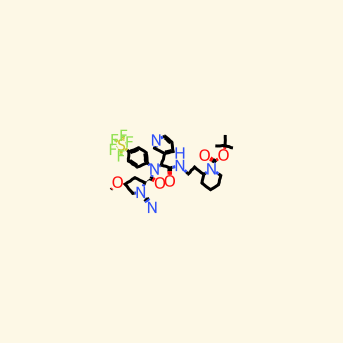 CO[C@@H]1C[C@H](C(=O)N(c2ccc(S(F)(F)(F)(F)F)cc2)C(C(=O)NCCC2CCCCN2C(=O)OC(C)(C)C)c2cccnc2)N(C#N)C1